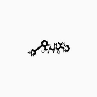 Cc1nn2cccnc2c1C(=O)N[C@@H](C)c1nc2cccc(C#Cc3cnn(C)c3)c2c(=O)n1C